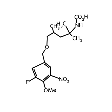 COc1c(F)cc(COCC(C)CC(C)(C)NC(=O)O)cc1[N+](=O)[O-]